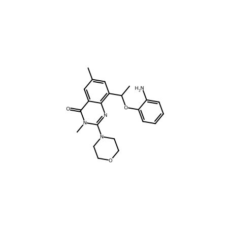 Cc1cc(C(C)Oc2ccccc2N)c2nc(N3CCOCC3)n(C)c(=O)c2c1